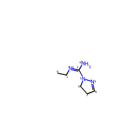 CC/N=C(/N)N1CCC=N1